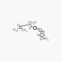 CC1C(=O)N(CCCC[C@H](CC(=O)c2ccc(NCC3=CN=C4N=C(N)NC(=O)C34)cc2)C(=O)O)C1C